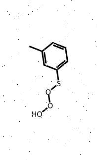 Cc1cccc(SOOO)c1